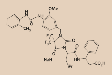 COc1cc(CN2C(=O)N(C(CC(C)C)C(=O)NC(CC(=O)O)c3ccccc3)C(=O)C2(C(F)(F)F)C(F)(F)F)ccc1NC(=O)Nc1ccccc1C.[NaH]